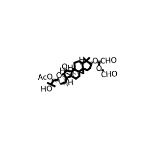 CC(=O)O[C@@H]([C@H]1C[C@@H](C)[C@H]2[C@H](O1)C(=O)[C@@]1(C)[C@@H]3CC[C@H]4C(C)(C)[C@@H](O[C@@H](C=O)OCC=O)CCC45C[C@@]35CC[C@]21C)C(C)(C)O